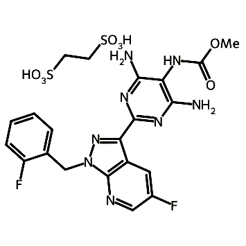 COC(=O)Nc1c(N)nc(-c2nn(Cc3ccccc3F)c3ncc(F)cc23)nc1N.O=S(=O)(O)CCS(=O)(=O)O